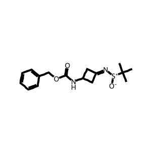 CC(C)(C)[S+]([O-])N=C1CC(NC(=O)OCc2ccccc2)C1